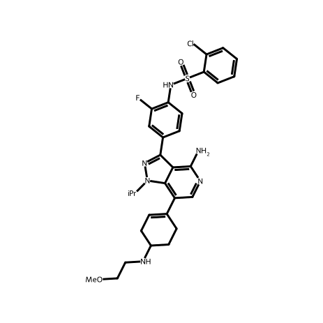 COCCNC1CC=C(c2cnc(N)c3c(-c4ccc(NS(=O)(=O)c5ccccc5Cl)c(F)c4)nn(C(C)C)c23)CC1